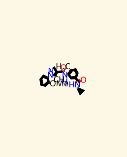 COc1ccccc1-n1ncc(C(=O)Nc2cc(C(=O)NC3CC3)ccc2C)c1C